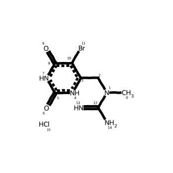 CN(Cc1[nH]c(=O)[nH]c(=O)c1Br)C(=N)N.Cl